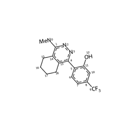 CNc1nnc(-c2ccc(C(F)(F)F)cc2O)c2c1CCCC2